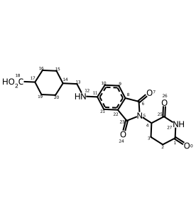 O=C1CCC(N2C(=O)c3ccc(NCC4CCC(C(=O)O)CC4)cc3C2=O)C(=O)N1